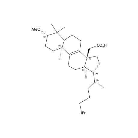 CO[C@H]1CC[C@]2(C)C3=C(CCC2C1(C)C)[C@]1(CC(=O)O)CC[C@H]([C@H](C)CCCC(C)C)[C@@]1(C)CC3